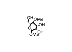 COC1O[C@H](CO)[C@@H](OC)[C@H](O)[C@H]1O